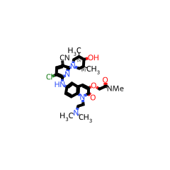 CNC(=O)COc1cc2cc(Nc3nc(N4C[C@@H](C)C(O)[C@@H](C)C4)c(C#N)cc3Cl)ccc2n(CCN(C)C)c1=O